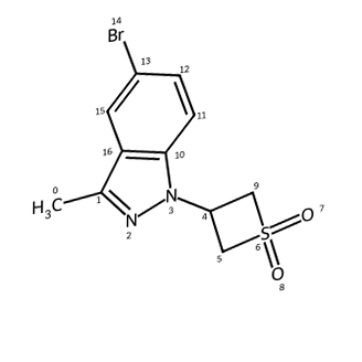 Cc1nn(C2CS(=O)(=O)C2)c2ccc(Br)cc12